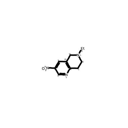 CCN1CCc2ncc([N+](=O)[O-])cc2C1